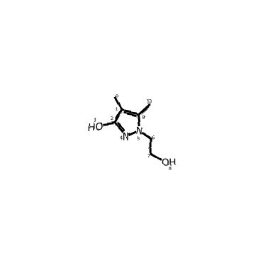 Cc1c(O)nn(CCO)c1C